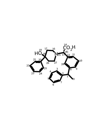 CC(c1ccccc1)c1cccc([C@H](C(=O)O)N2CCC(O)(c3ccccc3)CC2)c1